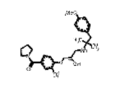 COc1ccc(CC(C)(C)NC[C@@H](O)COc2ccc(C(=O)N3CCCC3)cc2C#N)cc1